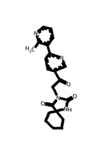 Cc1ncccc1-c1ccc(C(=O)CN2C(=O)NC3(CCCCC3)C2=O)cn1